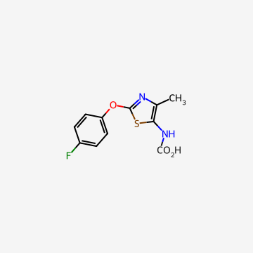 Cc1nc(Oc2ccc(F)cc2)sc1NC(=O)O